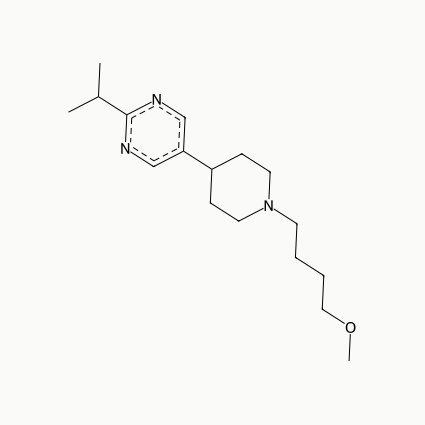 COCCCCN1CCC(c2cnc(C(C)C)nc2)CC1